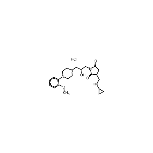 COc1ccccc1N1CCN(CC(O)CN2C(=O)CC(CNC3CC3)C2=O)CC1.Cl